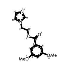 COc1cc(OC)cc(C(=O)OCCn2ccnc2)c1